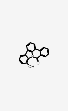 O=c1c2ccccc2c2cccc3c4cccc(O)c4n1c23